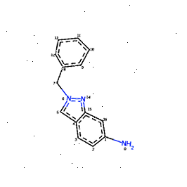 Nc1ccc2cn(Cc3ccccc3)nc2c1